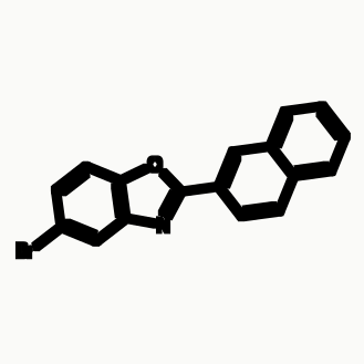 Brc1ccc2oc(-c3ccc4ccccc4c3)nc2c1